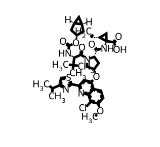 C=C[C@@H]1C[C@]1(NC(=O)[C@@H]1C[C@@H](Oc2cc(-c3nc(C(C)C)cs3)nc3c(Cl)c(OC)ccc23)CN1C(=O)[C@@H](NC(=O)O[C@@H]1C[C@@H]2C[C@@H]2C1)C(C)(C)C)C(=O)O